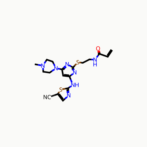 C=CC(=O)NCCSc1nc(Nc2ncc(C#N)s2)cc(N2CCN(C)CC2)n1